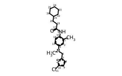 Cc1cc(N(C)Cc2ccc(Cl)s2)ccc1NC(=O)CCC1CCCCC1